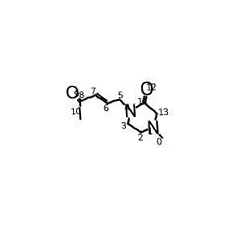 CN1CCN(C/C=C/C(=O)I)C(=O)C1